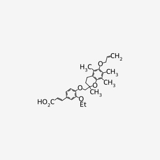 C=CCOc1c(C)c(C)c2c(c1C)CCC(C)(COc1ccc(/C=C/C(=O)O)cc1OCC)O2